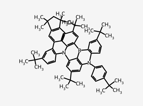 CC(C)(C)c1ccc(N2c3ccc(C(C)(C)C)cc3B3c4cc(C(C)(C)C)ccc4N(c4ccc(C(C)(C)C)cc4-c4ccc5c(c4)C(C)(C)CC5(C)C)c4cc(C(C)(C)C)cc2c43)cc1